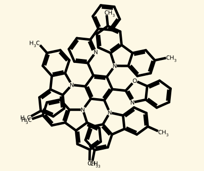 Cc1ccc2c(c1)c1cc(C)ccc1n2-c1c(-c2cccc(-c3ccccc3)n2)c(-n2c3ccc(C)cc3c3cc(C)ccc32)c(-n2c3ccc(C)cc3c3cc(C)ccc32)c(-n2c3ccc(C)cc3c3cc(C)ccc32)c1-c1nc2ccccc2o1